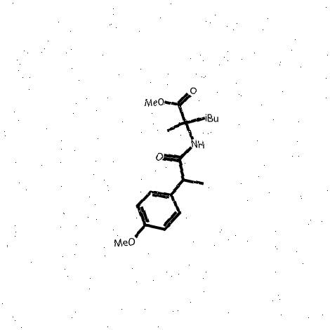 CCC(C)C(C)(NC(=O)C(C)c1ccc(OC)cc1)C(=O)OC